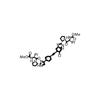 COC(=O)N[C@H](C(=O)N1CCC[C@H]1c1nc(-c2ccc(C#Cc3cc4nc([C@@H]5CCCN5C(=O)[C@@H](NC(=O)OC)C(C)C)[nH]c4cc3Cl)cc2)c[nH]1)C(C)C